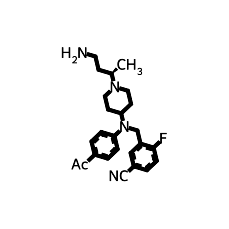 CC(=O)c1ccc(N(Cc2cc(C#N)ccc2F)C2CCN([C@H](C)CCN)CC2)cc1